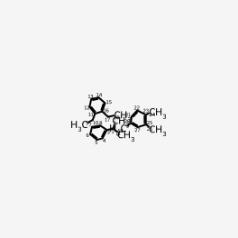 CC(C)c1ccccc1.CCc1ccccc1CC.Cc1ccc(C)c(C)c1